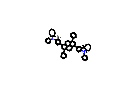 CCc1cc(-c2cc(-c3ccccc3)c3ccc4c(-c5ccc6c(c5)C5(C)CCCCCC5(C)N6c5ccccc5)cc(-c5ccccc5)c5ccc2c3c54)ccc1N(c1ccccc1)C1(C)CCCCCC1